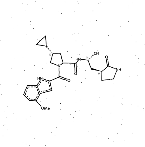 COc1cccc2[nH]c(C(=O)N3C[C@H](C4CC4)CC3C(=O)N[C@H](C#N)C[C@@H]3CCNC3=O)cc12